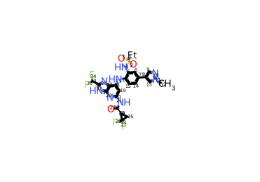 CCS(=O)(=O)Nc1cc(-c2cnn(C)c2)ccc1Nc1cc(NC(=O)[C@H]2CC2(F)F)nc2[nH]c(C(F)F)nc12